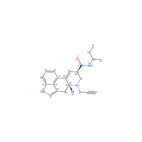 C#CCN1C[C@H](C(=O)NC(C)CC)C=C2c3cccc4[nH]cc(c34)C[C@H]21